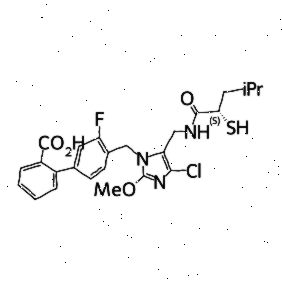 COc1nc(Cl)c(CNC(=O)[C@@H](S)CC(C)C)n1Cc1ccc(-c2ccccc2C(=O)O)cc1F